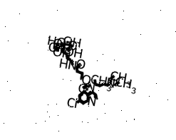 CCN(CC)CCCC(C)N(C(=O)OCCCC(=O)NCCCCC(O)(P(=O)(O)O)P(=O)(O)O)c1ccnc2cc(Cl)ccc12